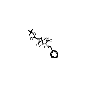 C[C@@H]1[C@H](NCc2ccccc2)C(=O)NC12CN(C(=O)OC(C)(C)C)C2=O